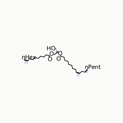 CCCCC/C=C\C/C=C\CCCCCCCC(=O)O[C@@H](CO)COC(=O)CCCCCCC/C=C\CCCCCC